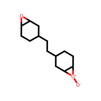 [O-][O+]1C2CCC(CCC3CCC4OC4C3)CC21